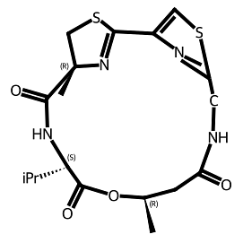 CC(C)[C@@H]1NC(=O)[C@]2(C)CSC(=N2)c2csc(n2)CNC(=O)C[C@@H](C)OC1=O